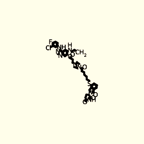 C=CC(=O)Nc1cc2c(Nc3ccc(F)c(Cl)c3)ncnc2cc1OCCCN1CCN(C(=O)CCCCCCSc2cccc3c2CN(C2CCC(=O)NC2=O)C3=O)CC1